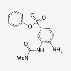 CNC(=O)Nc1cc(S(=O)(=O)Oc2ccccc2)ccc1N